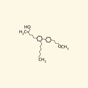 C=C(CO)CCCc1ccc(-c2ccc(CCCOC)cc2)c(CCCCCCC)c1